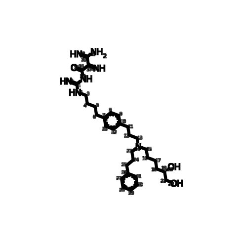 N=C(NCCCCc1ccc(CCCN(CCCC[C@H](O)CO)CCCc2ccccc2)cc1)NC(=O)C(=N)C(=N)N